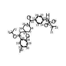 CC(C)O[C@@H]1CC2(CCN(C(=O)c3ccc(NS(=O)(=O)C(C)C)cc3)CC2)Oc2ccc(F)cc21